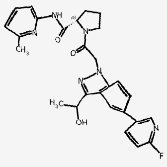 Cc1cccc(NC(=O)[C@@H]2CCCN2C(=O)Cn2nc(C(C)O)c3cc(-c4ccc(F)nc4)ccc32)n1